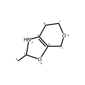 CC1NC2=C(COCC2)O1